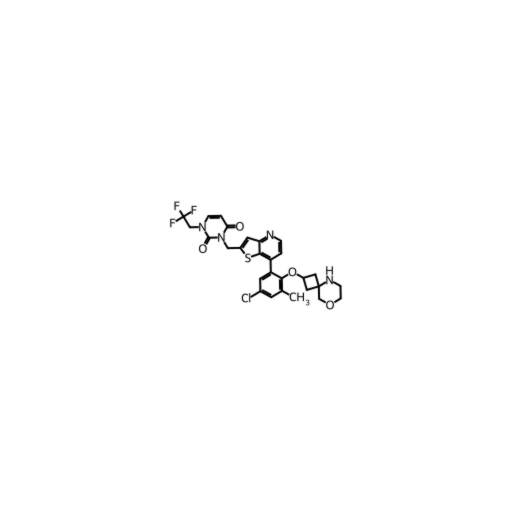 Cc1cc(Cl)cc(-c2ccnc3cc(Cn4c(=O)ccn(CC(F)(F)F)c4=O)sc23)c1OC1CC2(COCCN2)C1